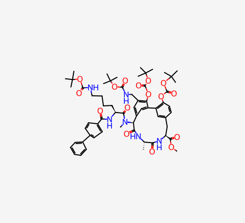 COC(=O)[C@@H]1Cc2ccc(OC(=O)OC(C)(C)C)c(c2)-c2cc(cc(CNC(=O)OC(C)(C)C)c2OC(=O)OC(C)(C)C)[C@H](N(C)C(=O)[C@H](CCCCNC(=O)OC(C)(C)C)NC(=O)c2ccc(-c3ccccc3)cc2)C(=O)N[C@@H](C)C(=O)N1